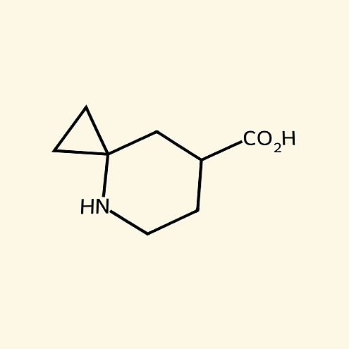 O=C(O)C1CCNC2(CC2)C1